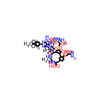 Cc1nc(-c2ccc(C(C)(C)C)cc2)nc(N)c1C(=O)N[C@@H](CNS(N)(=O)=O)C(=O)N(C)C1C(=O)N[C@@H](C)C(=O)NC(C(=O)O)Cc2ccc(OC[C@H](O)CN)c(c2)-c2cc1cc(OC[C@H](O)CN)c2O